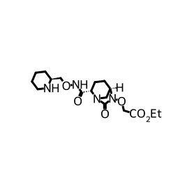 CCOC(=O)CON1C(=O)N2C[C@H]1CC[C@H]2C(=O)NOC[C@@H]1CCCCN1